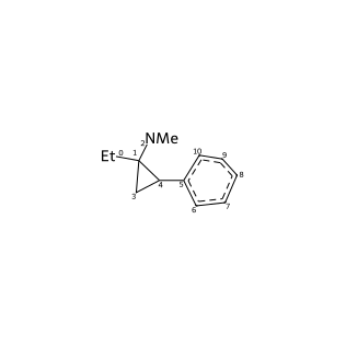 CCC1(NC)CC1c1ccccc1